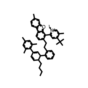 CCCCC1C=CC(c2c(C)cc(C)cc2C)=CC1c1ccccc1CCc1ccc2c(oc3cc(C)ccc32)c1-c1cc(C(C)(C)C)c(C)c[n+]1I